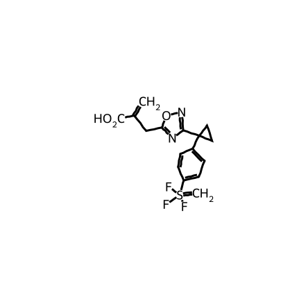 C=C(Cc1nc(C2(c3ccc(S(=C)(F)(F)F)cc3)CC2)no1)C(=O)O